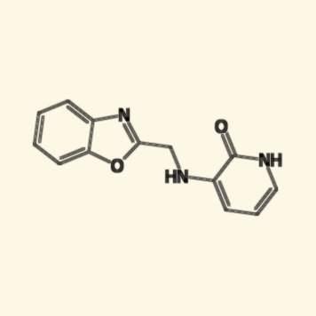 O=c1[nH]cccc1NCc1nc2ccccc2o1